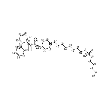 CCCCCC[N+](C)(C)CCCCCCCCCN1CCC(OC(=O)Nc2ccccc2-c2ccccc2)CC1